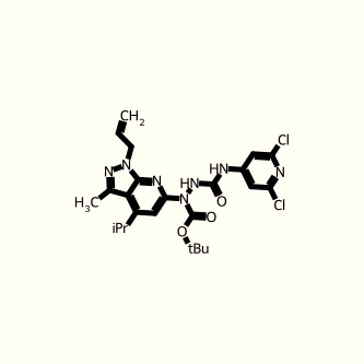 C=CCn1nc(C)c2c(C(C)C)cc(N(NC(=O)Nc3cc(Cl)nc(Cl)c3)C(=O)OC(C)(C)C)nc21